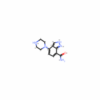 NC(=O)c1ccc(N2CCNCC2)c2c[nH]nc12